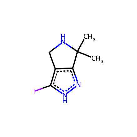 CC1(C)NCc2c1n[nH]c2I